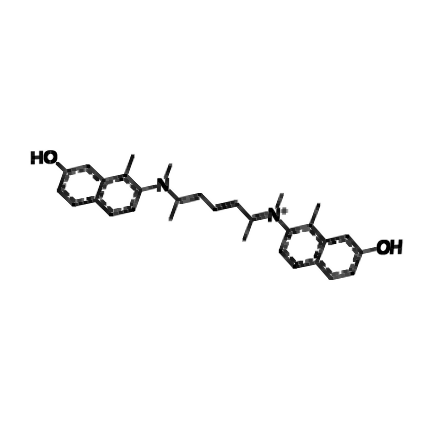 C\C(=C/C=C/C(C)=[N+](\C)c1ccc2ccc(O)cc2c1C)N(C)c1ccc2ccc(O)cc2c1C